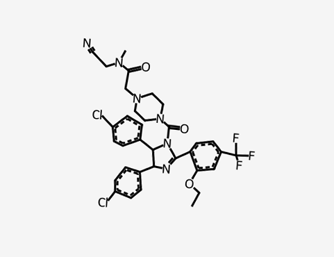 CCOc1cc(C(F)(F)F)ccc1C1=NC(c2ccc(Cl)cc2)C(c2ccc(Cl)cc2)N1C(=O)N1CCN(CC(=O)N(C)CC#N)CC1